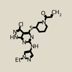 C=CC(=O)N1CCCC(Sc2nc(Nc3cnn(CC)c3)nc3[nH]nc(Cl)c23)C1